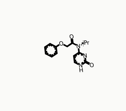 CC(C)[N+](C(=O)COc1ccccc1)c1cc[nH]c(=O)n1